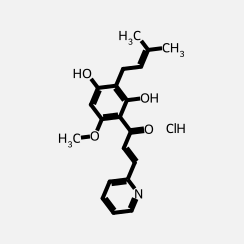 COc1cc(O)c(CC=C(C)C)c(O)c1C(=O)C=Cc1ccccn1.Cl